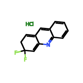 Cl.FC1(F)C=c2nc3ccccc3cc2=CC1